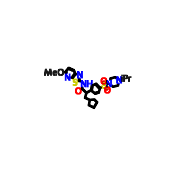 COc1ccc2nc(NC(=O)C(CC3CCCC3)c3ccc(S(=O)(=O)N4CCN(C(C)C)CC4)cc3)sc2n1